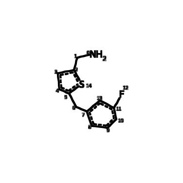 NCc1ccc(Cc2cccc(F)c2)s1